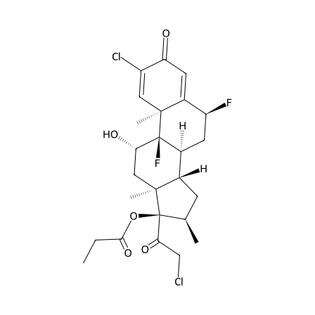 CCC(=O)O[C@]1(C(=O)CCl)[C@H](C)C[C@H]2[C@@H]3C[C@H](F)C4=CC(=O)C(Cl)=C[C@]4(C)[C@@]3(F)[C@@H](O)C[C@@]21C